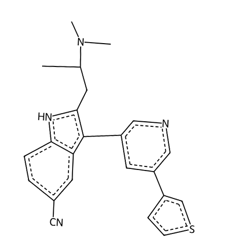 CC(Cc1[nH]c2ccc(C#N)cc2c1-c1cncc(-c2ccsc2)c1)N(C)C